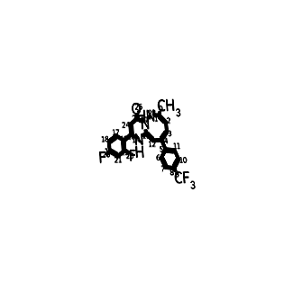 Cc1ccc(-c2ccc(C(F)(F)F)cc2)cc2[nH]c(-c3ccc(F)cc3F)cc(=O)n2[nH]1